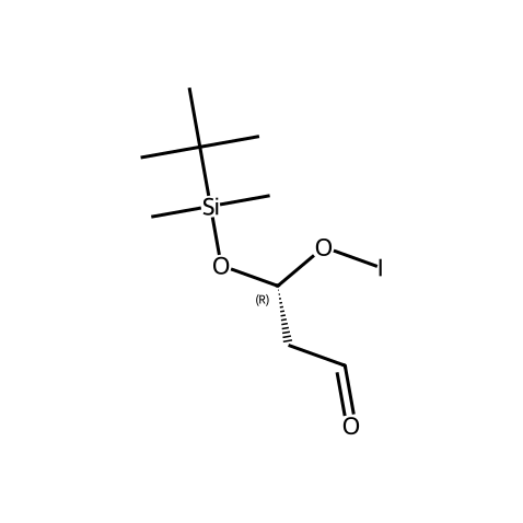 CC(C)(C)[Si](C)(C)O[C@@H](CC=O)OI